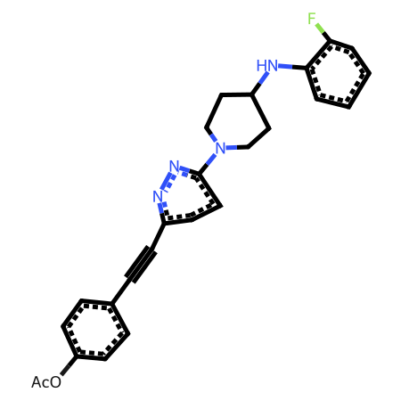 CC(=O)Oc1ccc(C#Cc2ccc(N3CCC(Nc4ccccc4F)CC3)nn2)cc1